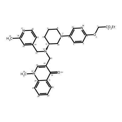 CCOC(=O)COc1ccc(N2CCC[C@H](N(Cc3ccnc(C)c3)Cc3cn(C)c4ccccc4c3=O)C2)cn1